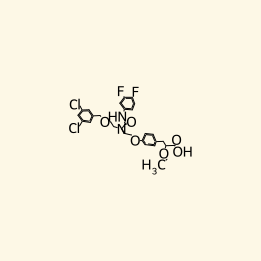 CCOC(Cc1ccc(OCCN(CCOCc2cc(Cl)cc(Cl)c2)C(=O)Nc2ccc(F)c(F)c2)cc1)C(=O)O